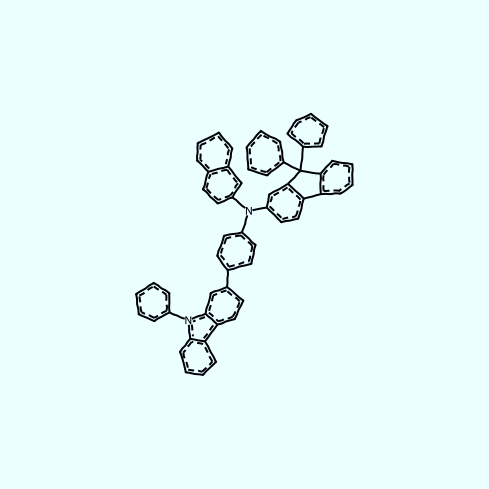 c1ccc(-n2c3ccccc3c3ccc(-c4ccc(N(c5ccc6c(c5)C(c5ccccc5)(c5ccccc5)c5ccccc5-6)c5ccc6ccccc6c5)cc4)cc32)cc1